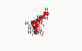 CC(/C=C/C(C)=C/[C@H]1Cc2nc(cs2)[C@@H](C)C[C@@H](NCC(=O)NCCOCCOCCNC(=O)CCCCC2SCC3NC(=O)NC32)CC(=O)O[C@@H](C)C/C(C)=C/C=C\C(=O)O1)=C\CN(C)C